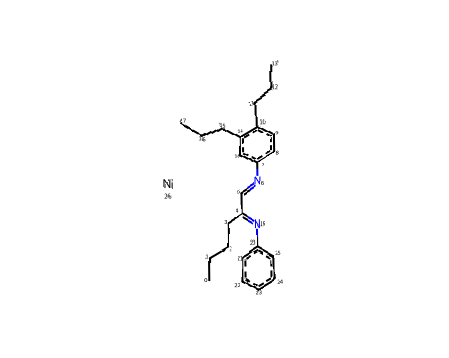 CCCCC(C=Nc1ccc(CCC)c(CCC)c1)=Nc1ccccc1.[Ni]